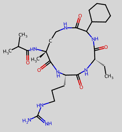 CC[C@@H]1NC(=O)[C@H](CCCNC(=N)N)NC(=O)[C@](C)(NC(=O)C(C)C)CCNC(=O)C(C2CCCCC2)NC1=O